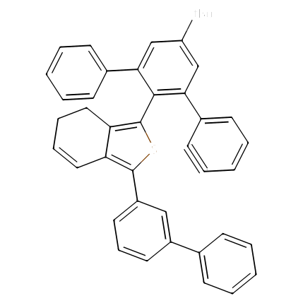 CC(C)(C)c1cc(-c2c#cccc2)c(-c2sc(-c3cccc(-c4ccccc4)c3)c3c2CCC=C3)c(-c2ccccc2)c1